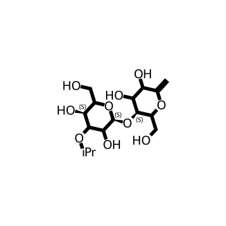 C=C1OC(CO)[C@@H](O[C@@H]2OC(CO)[C@H](O)C(OC(C)C)C2O)C(O)C1O